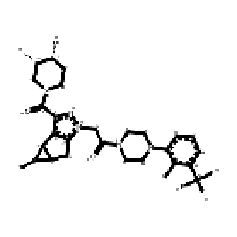 Cc1c(N2CCN(C(=O)Cn3nc(C(=O)N4CC[C@@H](O)[C@@H](F)C4)c4c3CC3C(C)C43)CC2)cccc1C(F)(F)F